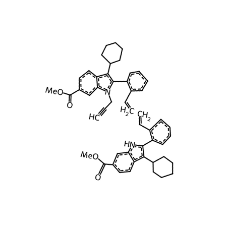 C#CCn1c(-c2ccccc2C=C)c(C2CCCCC2)c2ccc(C(=O)OC)cc21.C=Cc1ccccc1-c1[nH]c2cc(C(=O)OC)ccc2c1C1CCCCC1